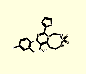 CCOC(=O)C1=C2CCNS(=O)(=O)NCN2C(c2nccs2)=N[C@H]1c1ccc(F)cc1Cl